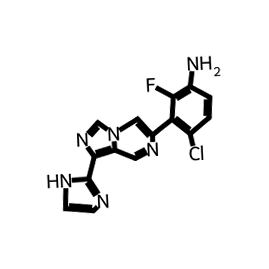 Nc1ccc(Cl)c(-c2cn3cnc(-c4ncc[nH]4)c3cn2)c1F